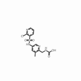 Cc1cc(NS(=O)(=O)c2cccnc2Cl)cnc1CNC(=O)O